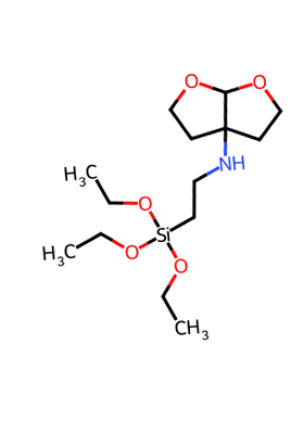 CCO[Si](CCNC12CCOC1OCC2)(OCC)OCC